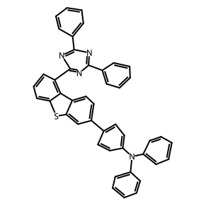 c1ccc(-c2nc(-c3ccccc3)nc(-c3cccc4sc5cc(-c6ccc(N(c7ccccc7)c7ccccc7)cc6)ccc5c34)n2)cc1